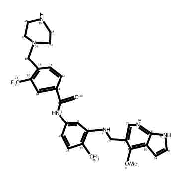 COc1c(CNc2cc(NC(=O)c3ccc(CN4CCNCC4)c(C(F)(F)F)c3)ccc2C)cnc2[nH]ccc12